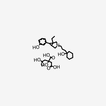 CCC12CN(CCCC3(O)CCCCC3)CC1C2c1cccc(O)c1.O=C(O)CC(O)(CC(=O)O)C(=O)O